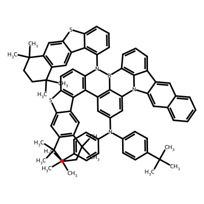 CC(C)(C)c1ccc(N(c2ccc(C(C)(C)C)cc2)c2cc3c4c(c2)-n2c5cc6ccccc6cc5c5cccc(c52)B4N(c2cccc4sc5cc6c(cc5c24)C(C)(C)CCC6(C)C)c2ccc4sc5cc6c(cc5c4c2-3)C(C)(C)CCC6(C)C)cc1